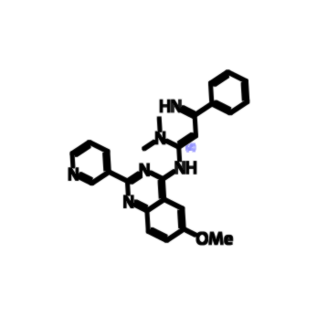 COc1ccc2nc(-c3cccnc3)nc(N/C(=C/C(=N)c3ccccc3)N(C)C)c2c1